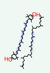 CC(C)=CCCC(C)CCCC(C)C/C=C/C(C)=C/C=C/C=C(C)/C=C/CC(C)CCCC(C)CCC=C(C)C.CC1=C(/C=C/C(C)=C/C=C/C(C)=C/C=C/C=C(C)/C=C/C=C(C)/C=C/C2=C(C)C[C@@H](O)CC2(C)C)C(C)(C)C[C@H](O)C1